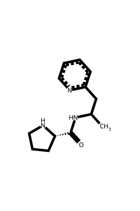 CC(Cc1ccccn1)NC(=O)[C@@H]1CCCN1